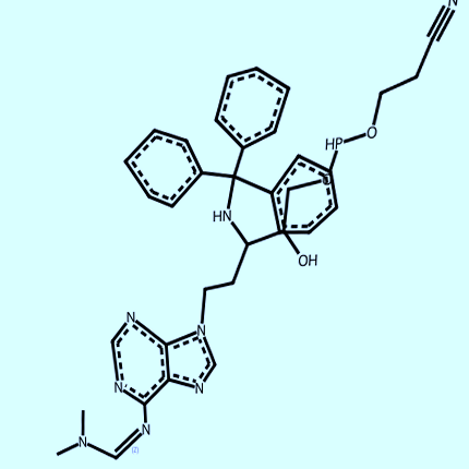 CN(C)/C=N\c1ncnc2c1ncn2CCC(NC(c1ccccc1)(c1ccccc1)c1ccccc1)C(O)COPOCCC#N